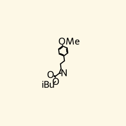 CCC(C)OC(=O)C1N=C1CCc1ccc(OC)cc1